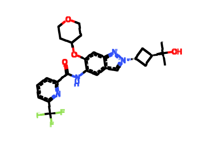 CC(C)(O)[C@H]1C[C@H](n2cc3cc(NC(=O)c4cccc(C(F)(F)F)n4)c(OC4CCOCC4)cc3n2)C1